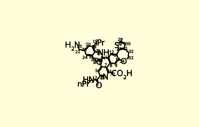 CCCNC(=O)c1ccc(-c2cc3c(cc2C(=O)Nc2c(C(C)C)cc(CN)cc2C(C)C)-c2sccc2CCO3)c(C(=O)O)n1